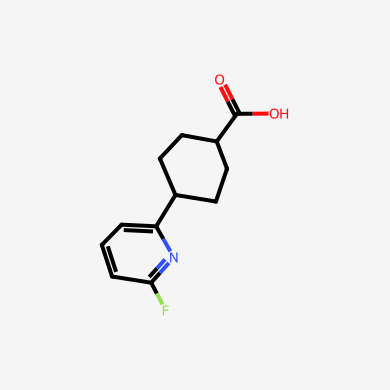 O=C(O)C1CCC(c2cccc(F)n2)CC1